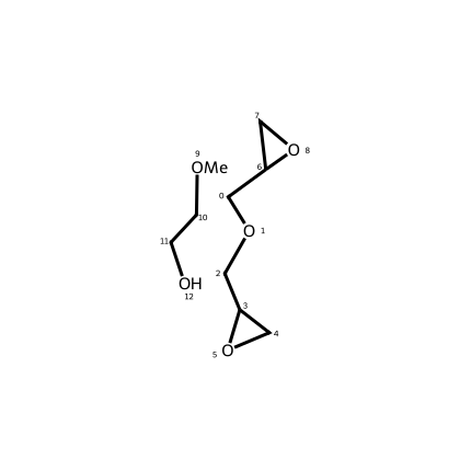 C(OCC1CO1)C1CO1.COCCO